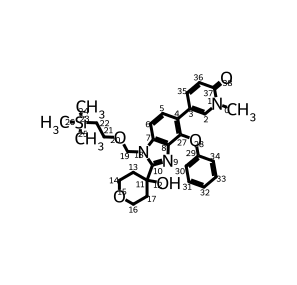 Cn1cc(-c2ccc3c(nc(C4(O)CCOCC4)n3COCC[Si](C)(C)C)c2Oc2ccccc2)ccc1=O